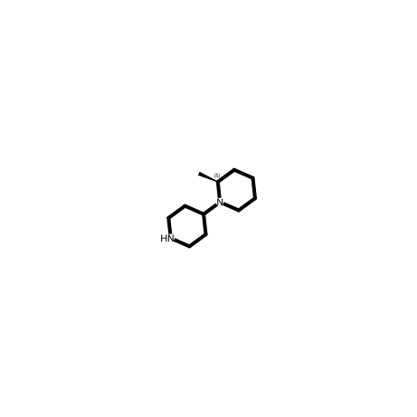 C[C@H]1CCCCN1C1CCNCC1